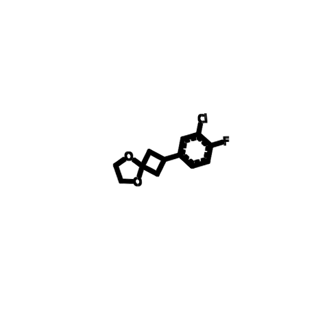 Fc1ccc([C]2CC3(C2)OCCO3)cc1Cl